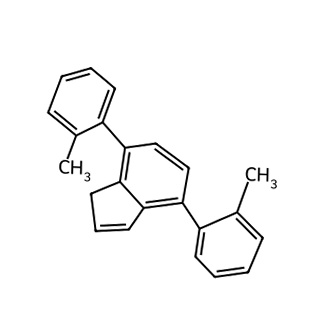 Cc1ccccc1-c1ccc(-c2ccccc2C)c2c1C=CC2